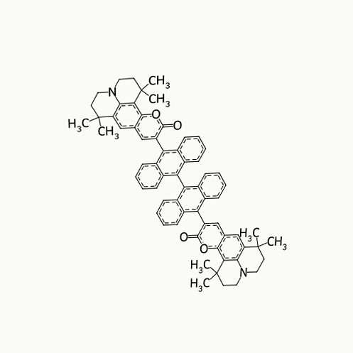 CC1(C)CCN2CCC(C)(C)c3c2c1cc1cc(-c2c4ccccc4c(-c4c5ccccc5c(-c5cc6cc7c8c(c6oc5=O)C(C)(C)CCN8CCC7(C)C)c5ccccc45)c4ccccc24)c(=O)oc31